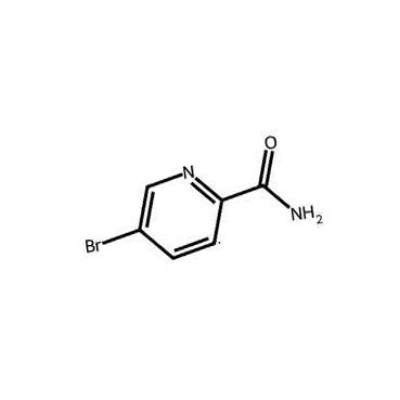 NC(=O)c1[c]cc(Br)cn1